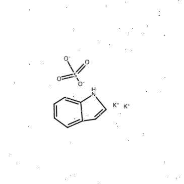 O=S(=O)([O-])[O-].[K+].[K+].c1ccc2[nH]ccc2c1